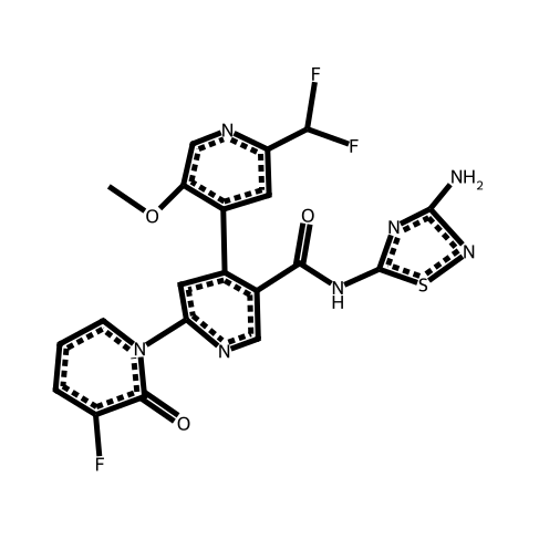 COc1cnc(C(F)F)cc1-c1cc(-n2cccc(F)c2=O)ncc1C(=O)Nc1nc(N)ns1